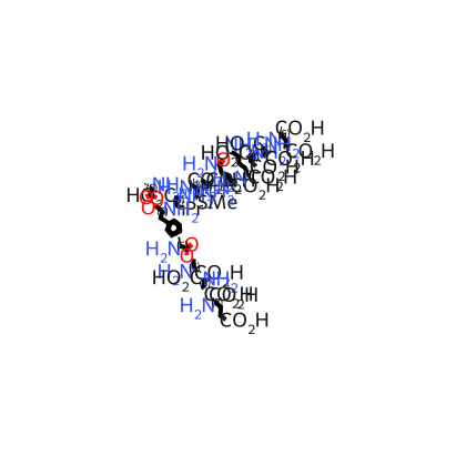 CC(C)C[C@H](N)C(=O)O.CSCC[C@H](N)C(=O)O.C[C@H](N)C(=O)O.C[C@H](N)C(=O)OC(=O)[C@@H](N)Cc1ccccc1.C[C@H](N)C(=O)OC[C@H](N)C(=O)O.NC(=O)CC[C@H](N)C(=O)O.NCCCC[C@H](N)C(=O)O.N[C@@H](CC(=O)O)C(=O)O.N[C@@H](CC(=O)O)C(=O)O.N[C@@H](CC(=O)O)C(=O)O.N[C@@H](CCC(=O)O)C(=O)O.N[C@@H](CCC(=O)O)C(=O)O